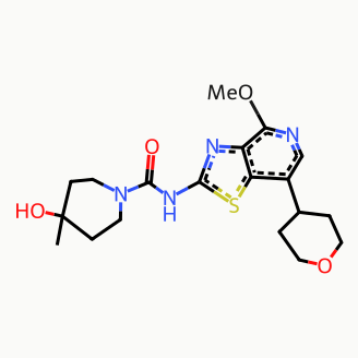 COc1ncc(C2CCOCC2)c2sc(NC(=O)N3CCC(C)(O)CC3)nc12